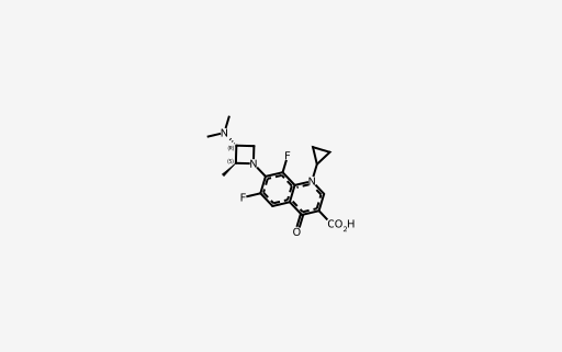 C[C@H]1[C@H](N(C)C)CN1c1c(F)cc2c(=O)c(C(=O)O)cn(C3CC3)c2c1F